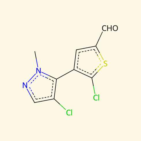 Cn1ncc(Cl)c1-c1cc(C=O)sc1Cl